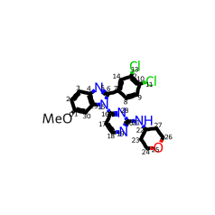 COc1ccc2nc(-c3ccc(Cl)c(Cl)c3)n(-c3ccnc(NC4CCOCC4)n3)c2c1